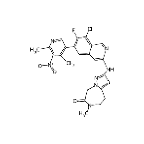 Cc1ncc(-c2cc3cc(Nc4cc5n(n4)CC(=O)N(C)CC5)ncc3c(Cl)c2F)c(C)c1[N+](=O)[O-]